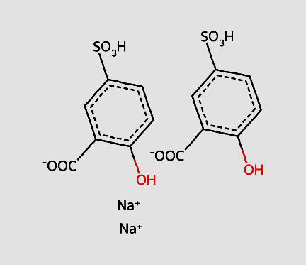 O=C([O-])c1cc(S(=O)(=O)O)ccc1O.O=C([O-])c1cc(S(=O)(=O)O)ccc1O.[Na+].[Na+]